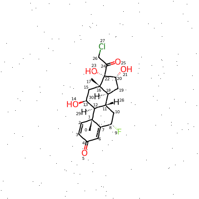 C[C@]12C=CC(=O)C=C1[C@@H](F)C[C@@H]1[C@@H]2[C@@H](O)C[C@@]2(C)[C@H]1C[C@@H](O)[C@]2(O)C(=O)CCl